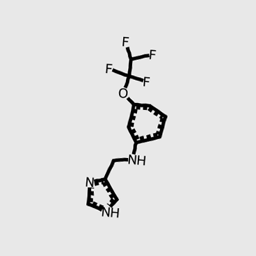 FC(F)C(F)(F)Oc1cccc(NCc2c[nH]cn2)c1